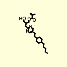 C=C(C)C(=O)OCC(CO)Cc1ncc(CCC2CCC(CCCCC)CC2)cn1